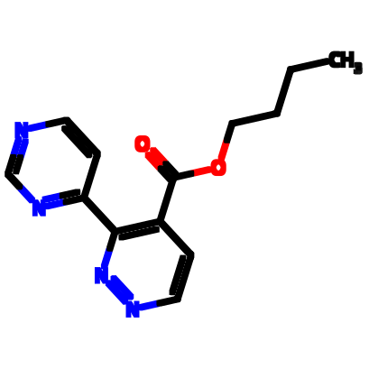 CCCCOC(=O)c1ccnnc1-c1ccncn1